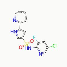 O=S(=O)(Nc1ncc(Cl)cc1F)c1c[nH]c(-c2ccccn2)c1